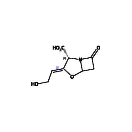 O=C(O)[C@H]1/C(=C/CO)OC2CC(=O)N21